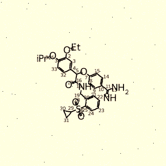 CCOc1cc(C(Oc2ccc(C(=N)N)cc2)C(=O)NCc2ccccc2S(=O)(=O)C2CC2)ccc1OC(C)C